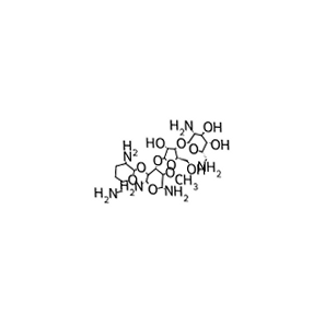 CO[C@@H]1[C@@H](O[C@@H]2O[C@H](CO)[C@@H](O[C@H]3O[C@@H](CN)[C@@H](O)[C@H](O)[C@H]3N)[C@H]2O)[C@H](O[C@H]2O[C@H](CN)CC[C@H]2N)[C@@H](N)O[C@H]1N